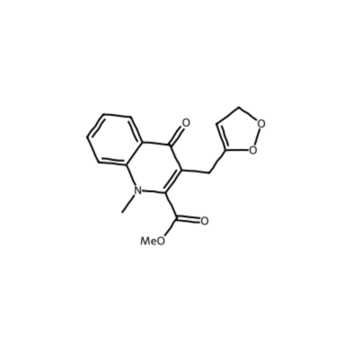 COC(=O)c1c(CC2=CCOO2)c(=O)c2ccccc2n1C